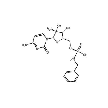 C[C@]1(O)C(n2ccc(N)nc2=O)OC(COP(=O)(O)NCc2ccccc2)[C@H]1O